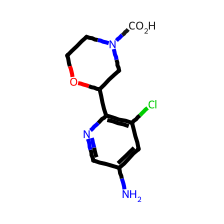 Nc1cnc(C2CN(C(=O)O)CCO2)c(Cl)c1